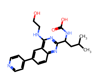 CC(C)CC(NC(=O)O)c1nc(NCCO)c2cc(-c3ccncc3)ccc2n1